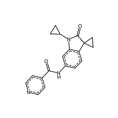 O=C(Nc1ccc2c(c1)N(C1CC1)C(=O)C21CC1)c1ccncc1